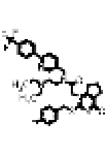 CCN(CC)CCN(Cc1ccc(-c2ccc(C(F)(F)F)cc2)nc1)C(=O)Cn1c(SCc2ccc(F)cc2)nc(=O)c2c1CCC2